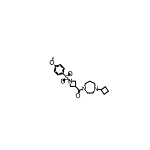 COc1ccc(S(=O)(=O)N2CC(C(=O)N3CCCN(C4CCC4)CC3)C2)cc1